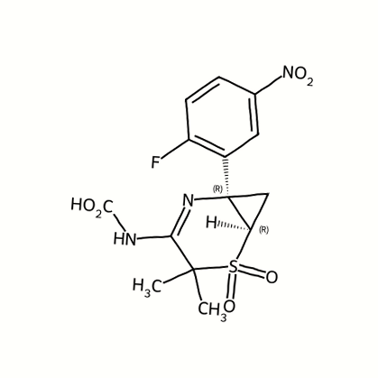 CC1(C)C(NC(=O)O)=N[C@@]2(c3cc([N+](=O)[O-])ccc3F)C[C@H]2S1(=O)=O